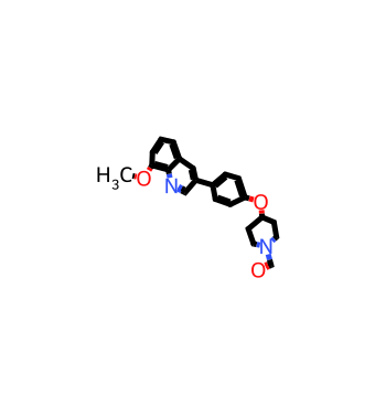 COc1cccc2cc(-c3ccc(OC4CCN(C=O)CC4)cc3)cnc12